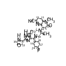 C[C@@H]1CN(c2cc(=O)n(C)c3ccc(C#N)nc23)[C@@H](C)CN1C(c1ccc(F)cc1)c1nc(C2COCN2)no1